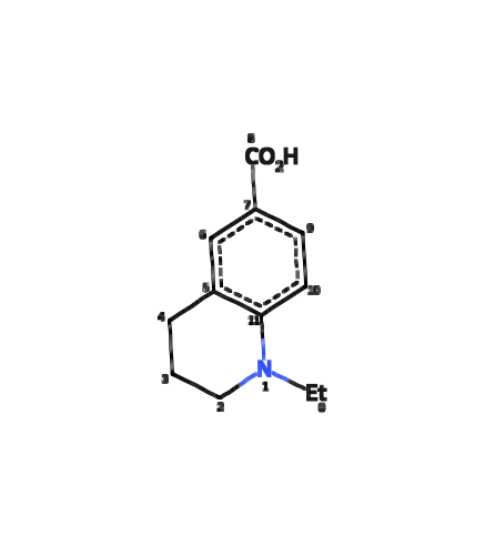 CCN1CCCc2cc(C(=O)O)ccc21